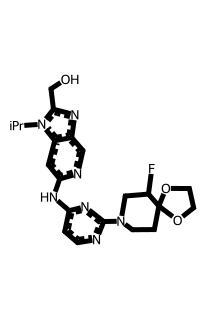 CC(C)n1c(CO)nc2cnc(Nc3ccnc(N4CCC5(OCCO5)C(F)C4)n3)cc21